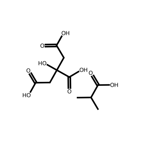 CC(C)C(=O)O.O=C(O)CC(O)(CC(=O)O)C(=O)O